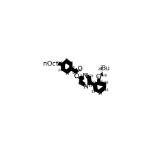 CCCCCCCCc1ccc(C(=O)Oc2cnc(-c3ccccc3OC[C@@H](C)CC)cn2)cc1